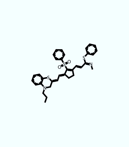 CCCN1C/C(=C/C=C2\CCC(/C=C/C(=N\C)Sc3ccccc3)=C2S(=O)(=O)c2ccccc2)Sc2ccccc21